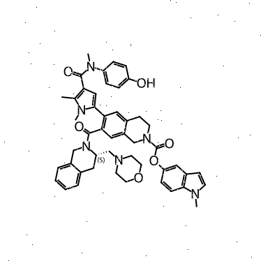 Cc1c(C(=O)N(C)c2ccc(O)cc2)cc(-c2cc3c(cc2C(=O)N2Cc4ccccc4C[C@H]2CN2CCOCC2)CN(C(=O)Oc2ccc4c(ccn4C)c2)CC3)n1C